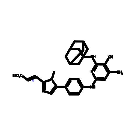 CCOC(=O)/C=C/c1ncc(-c2ccc(Nc3cc(N)c(C#N)c(NC45CC6CC(CC(C6)C4)C5)n3)cc2)n1C